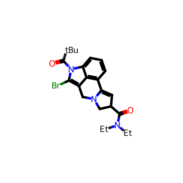 CCN(CC)C(=O)C1C=C2c3cccc4c3c(c(Br)n4C(=O)C(C)(C)C)CN2C1